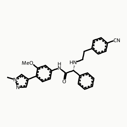 COc1cc(NC(=O)[C@H](NCCc2ccc(C#N)cc2)c2ccccc2)ccc1-c1cnn(C)c1